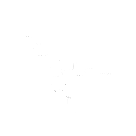 COc1ccc(-c2cc3cnc(NCC(F)(F)F)nc3n(-c3ccc(CCO)cc3)c2=O)cc1